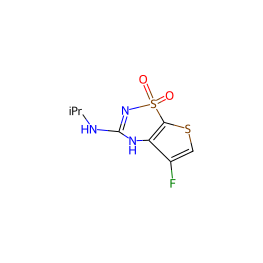 CC(C)NC1=NS(=O)(=O)c2scc(F)c2N1